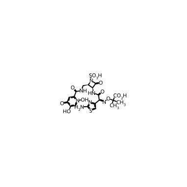 CC(C)(O/N=C(\C(=O)N[C@@H]1C(=O)N(S(=O)(=O)O)[C@@H]1CNC(=O)c1cc(=O)c(O)cn1O)c1csc(N)n1)C(=O)O